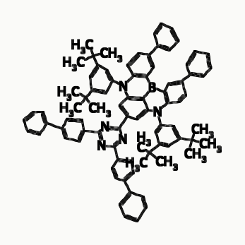 CC(C)(C)c1cc(N2c3ccc(-c4ccccc4)cc3B3c4cc(-c5ccccc5)ccc4N(c4cc(C(C)(C)C)cc(C(C)(C)C)c4)c4cc(-c5nc(-c6ccc(-c7ccccc7)cc6)nc(-c6ccc(-c7ccccc7)cc6)n5)cc2c43)cc(C(C)(C)C)c1